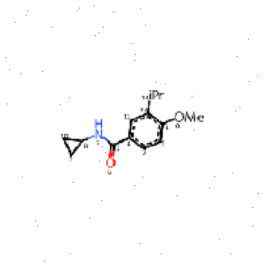 COc1ccc(C(=O)NC2CC2)cc1C(C)C